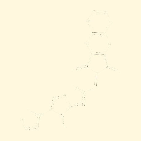 Cn1c(-c2cccs2)cc2sc(C=C3C(=O)c4cc5ccccc5cc4C3=O)nc21